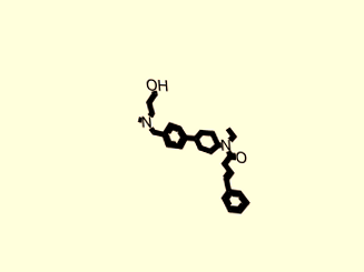 CCN(C(=O)C/C=C/c1ccccc1)C1CCC(c2ccc(CN(C)CCCO)cc2)CC1